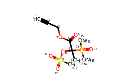 C#CCOC(=O)C(C)(OS(C)(=O)=O)P(=O)(OC)OC